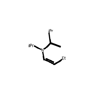 CC/C=C\N(C(C)C)C(C)C(C)C